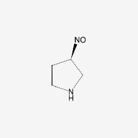 O=N[C@@H]1CCNC1